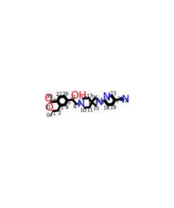 C[C@@H]1Cc2cc(C(O)CN3CCC4(CC3)CN(c3ccc(C#N)cn3)C4)ccc2C(=O)O1